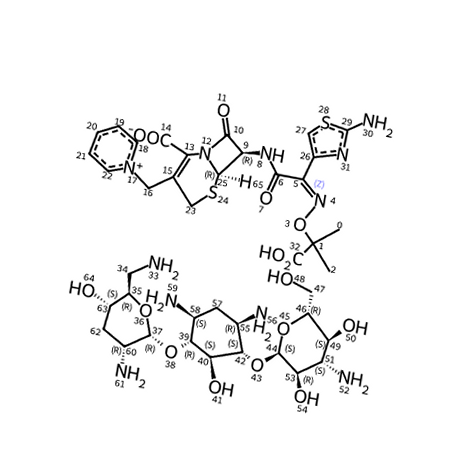 CC(C)(O/N=C(\C(=O)N[C@@H]1C(=O)N2C(C(=O)[O-])=C(C[n+]3ccccc3)CS[C@H]12)c1csc(N)n1)C(=O)O.NC[C@H]1O[C@H](O[C@H]2[C@H](O)[C@@H](O[C@H]3O[C@H](CO)[C@@H](O)[C@H](N)[C@H]3O)[C@H](N)C[C@@H]2N)[C@H](N)C[C@@H]1O